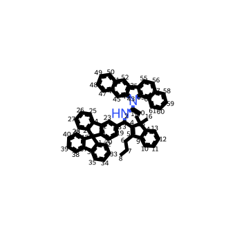 C=C(NC(C1=C(CCC)c2ccccc2C1(C)C)c1ccc2c(c1)-c1ccccc1C21c2ccccc2-c2ccccc21)n1c2cc3ccccc3cc2c2ccc3ccccc3c21